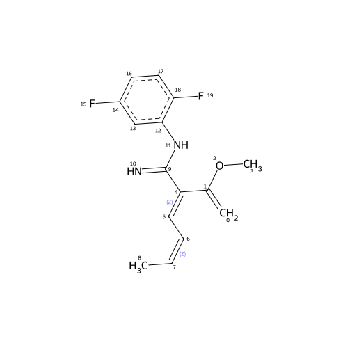 C=C(OC)/C(=C\C=C/C)C(=N)Nc1cc(F)ccc1F